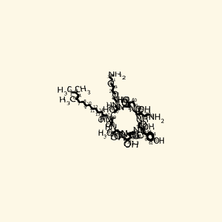 CCC(C)CC(C)CCCCCCCCC(=O)CNC1C[C@@H](O)C(NCCOCCOCCN)NC(=O)C2[C@@H](O)CCN2C(=O)C([C@H](O)CCN)NC(=O)C([C@H](O)[C@@H](O)c2ccc(O)cc2)NC(=O)C2C[C@@H](O)CN2C(=O)C([C@@H](C)O)NC1=O